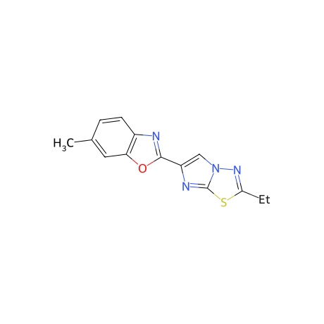 CCc1nn2cc(-c3nc4ccc(C)cc4o3)nc2s1